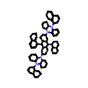 c1ccc2c(c1)N(c1ccc3c(-c4cccc5ccccc45)c4cc(N5c6ccccc6N(c6cccc7ccccc67)c6ccccc65)ccc4c(-c4cccc5ccccc45)c3c1)c1ccccc1N2c1cccc2ccccc12